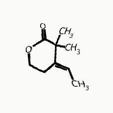 C/C=C1\CCOC(=O)C1(C)C